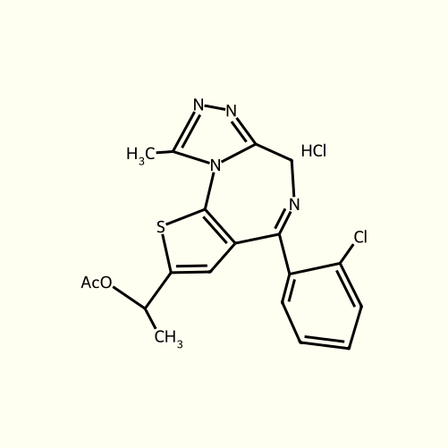 CC(=O)OC(C)c1cc2c(s1)-n1c(C)nnc1CN=C2c1ccccc1Cl.Cl